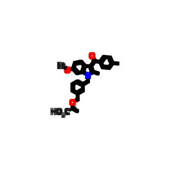 CCOc1ccc2c(C(=O)c3ccc(C)cc3)c(C)n(Cc3cccc(CO[C@H](C)C(=O)O)c3)c2c1